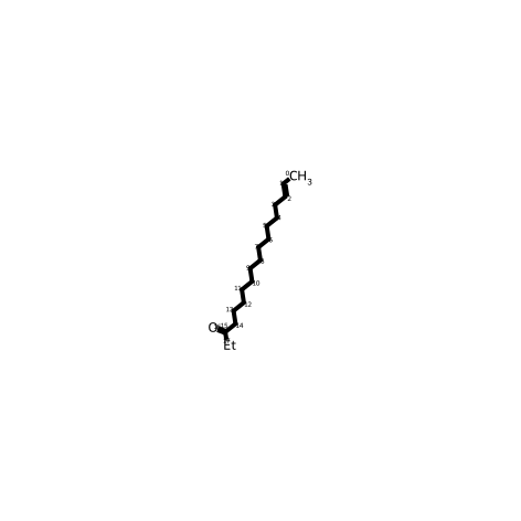 CC=CCCCCCCCCCCCCC(=O)CC